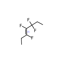 CC/C(F)=C(\F)C(F)(F)CC